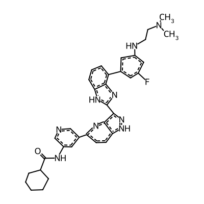 CN(C)CCNc1cc(F)cc(-c2cccc3[nH]c(-c4n[nH]c5ccc(-c6cncc(NC(=O)C7CCCCC7)c6)nc45)nc23)c1